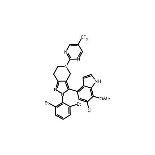 CCc1cccc(CC)c1-n1nc2c(c1-c1cc(Cl)c(OC)c3[nH]ccc13)CN(c1ncc(C(F)(F)F)cn1)CC2